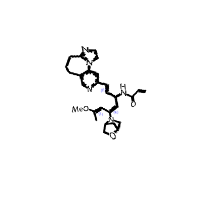 C=CC(=O)NC(/C=C/c1cc2c(cn1)CC=Cc1nccn1-2)/C=C(\C=C(/C)OC)N1CC2CC1CO2